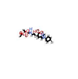 CC(=O)OC(C)OC(=O)NCCC[C@@H](Cc1cn([C@H]2CC[C@H](C)CC2)cn1)C(=O)O